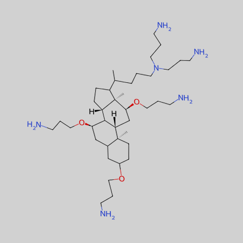 CC(CCCN(CCCN)CCCN)C1CC[C@H]2C3[C@H](OCCCN)CC4CC(OCCCN)CC[C@]4(C)[C@H]3C[C@H](OCCCN)[C@]12C